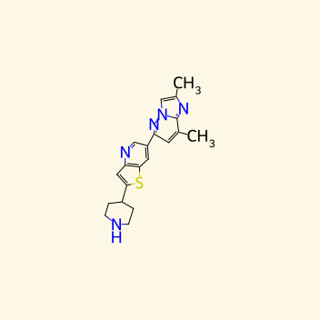 Cc1cn2nc(-c3cnc4cc(C5CCNCC5)sc4c3)cc(C)c2n1